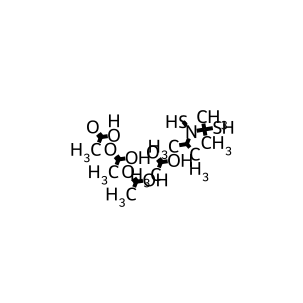 CC(=O)O.CC(=O)O.CC(=O)O.CC(=O)O.CC(C)N(S)C(C)(C)S